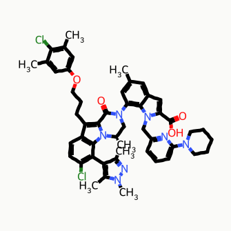 Cc1cc(N2C[C@@H](C)n3c(c(CCCOc4cc(C)c(Cl)c(C)c4)c4ccc(Cl)c(-c5c(C)nn(C)c5C)c43)C2=O)c2c(c1)cc(C(=O)O)n2Cc1cccc(N2CCCCC2)n1